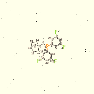 Fc1cc(F)cc(P(CC23CCC(CC2)C3)c2cc(F)cc(F)c2)c1